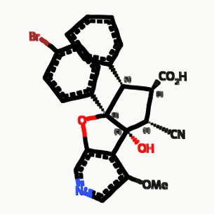 COc1cncc2c1[C@]1(O)[C@@H](C#N)[C@H](C(=O)O)[C@@H](c3ccccc3)[C@]1(c1ccc(Br)cc1)O2